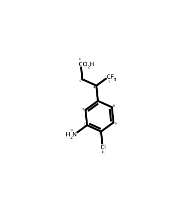 Nc1cc(C(CC(=O)O)C(F)(F)F)ccc1Cl